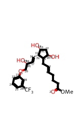 COC(=O)CCCC=CCC1[C@H](O)C[C@@H](O)[C@H]1C=C[C@@H](O)COc1cccc(C(F)(F)F)c1